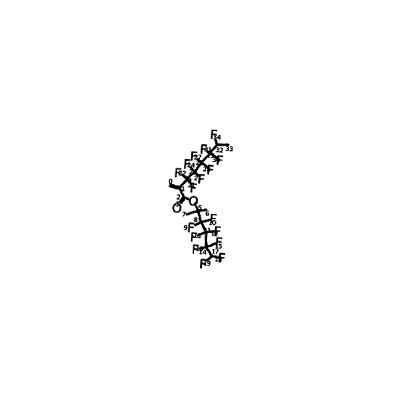 C=C(C(=O)OC(C)(C)C(F)(F)C(F)(F)C(F)(F)C(F)F)C(F)(F)C(F)(F)C(F)(F)C(F)(F)C(C)F